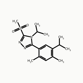 Cc1cc(C)c(C(C)C)cc1-c1nnc(S(C)(=O)=O)n1C(C)C